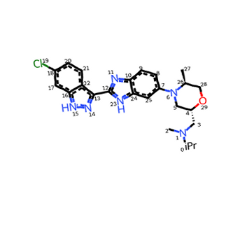 CC(C)N(C)C[C@@H]1CN(c2ccc3nc(-c4n[nH]c5cc(Cl)ccc45)[nH]c3c2)[C@@H](C)CO1